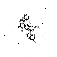 COCc1cc2c(cc1C(=O)N1CCc3cc(Br)cnc31)[nH]c(=O)c1nnc(C3(C)CCOCC3)n12